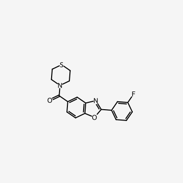 O=C(c1ccc2oc(-c3cccc(F)c3)nc2c1)N1CCSCC1